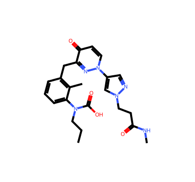 CCCN(C(=O)O)c1cccc(Cc2nn(-c3cnn(CCC(=O)NC)c3)ccc2=O)c1C